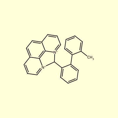 Cc1ccccc1-c1ccccc1C1[n+]2cccc3ccc4ccc[n+]1c4c32